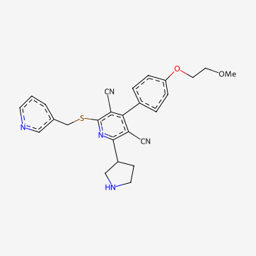 COCCOc1ccc(-c2c(C#N)c(SCc3cccnc3)nc(C3CCNC3)c2C#N)cc1